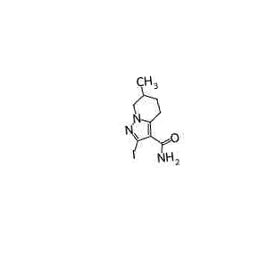 CC1CCc2c(C(N)=O)c(I)nn2C1